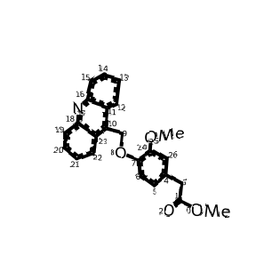 COC(=O)Cc1ccc(OCc2c3ccccc3nc3ccccc23)c(OC)c1